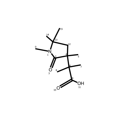 CN1C(=O)C(C)(C(C)(C)C(=O)O)CC1(C)C